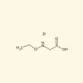 CCONCC(=O)O.[Zr]